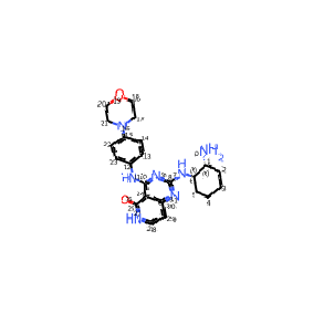 N[C@@H]1CCCC[C@H]1Nc1nc(Nc2ccc(N3CCOCC3)cc2)c2c(=O)[nH]ccc2n1